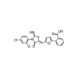 N=C1S/C(=C\c2ccc(-c3ccccc3C(=O)O)o2)C(=O)N1c1ccc(Cl)cc1Cl